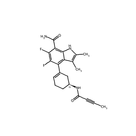 CC#CC(=O)N[C@H]1CCC=C(c2c(F)c(F)c(C(N)=O)c3[nH]c(C)c(C)c23)C1